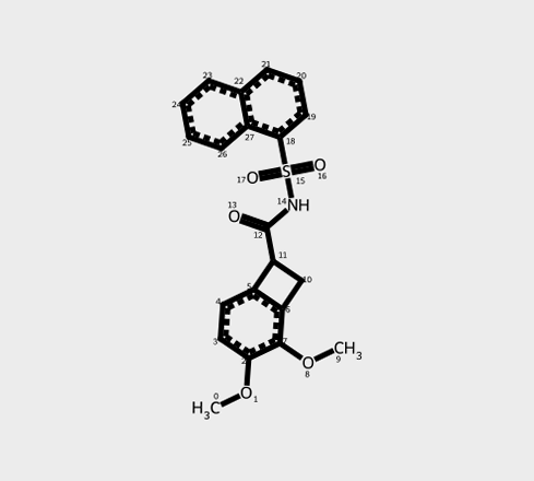 COc1ccc2c(c1OC)CC2C(=O)NS(=O)(=O)c1cccc2ccccc12